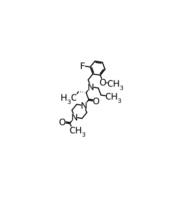 CCCN(Cc1c(F)cccc1OC)[C@@H](CC)C(=O)N1CCN(C(C)=O)CC1